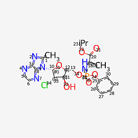 Cc1nc2nccnc2n1[C@@H]1O[C@H](CO[P@@](=O)(N[C@H](C)C(=O)OC(C)C)Oc2ccccc2)[C@@H](O)[C@@H]1Cl